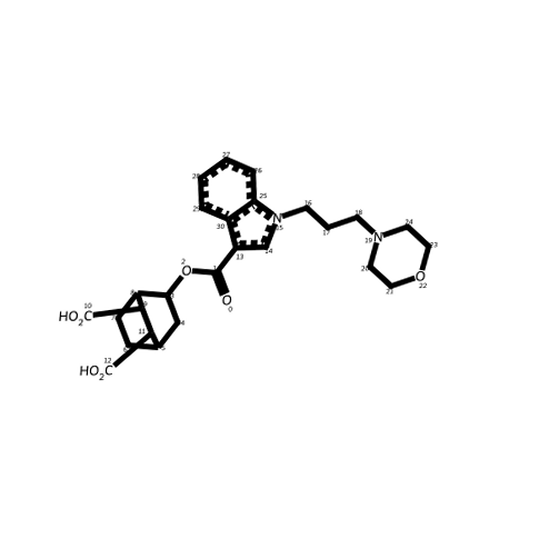 O=C(OC1CC2CCC1C(C(=O)O)C2C(=O)O)c1cn(CCCN2CCOCC2)c2ccccc12